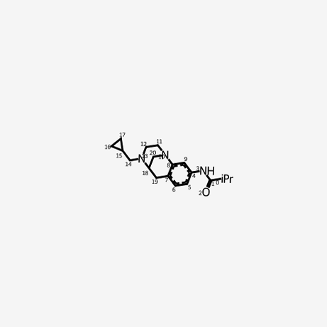 CC(C)C(=O)Nc1ccc2c(c1)N1CCN(CC3CC3)C(C2)C1